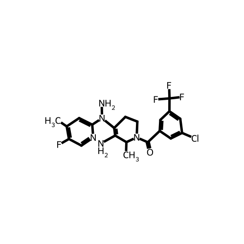 Cc1cc(N(N)C2=C(N)C(C)N(C(=O)c3cc(Cl)cc(C(F)(F)F)c3)CC2)ncc1F